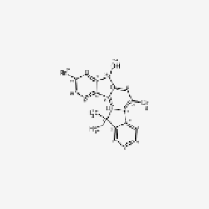 CC1(C)c2ccccc2-c2c(Br)cc3c(c21)-c1ccc(Br)cc1C3O